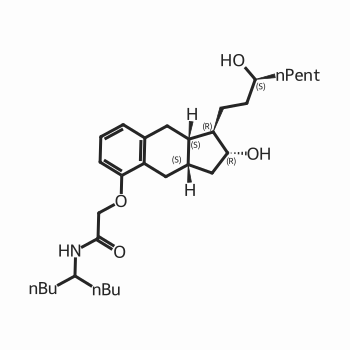 CCCCC[C@H](O)CC[C@@H]1[C@H]2Cc3cccc(OCC(=O)NC(CCCC)CCCC)c3C[C@H]2C[C@H]1O